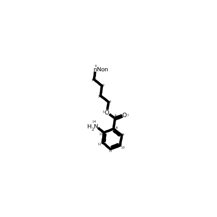 CCCCCCCCCCCCCOC(=O)c1ccccc1N